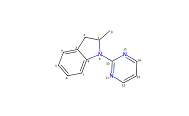 CC1Cc2ccccc2N1c1ncccn1